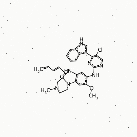 C=C/C=C/C(=O)Nc1cc(Nc2ncc(Cl)c(-c3c[nH]c4ccccc34)n2)c(OC)cc1N1CCN(C)CC1